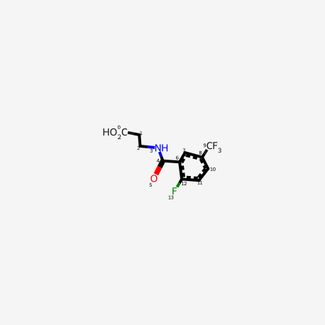 O=C(O)CCNC(=O)c1cc(C(F)(F)F)ccc1F